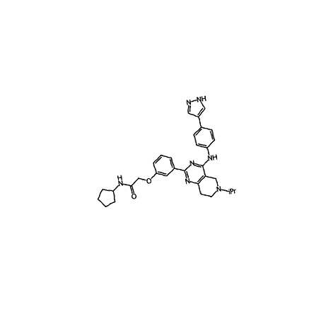 CC(C)N1CCc2nc(-c3cccc(OCC(=O)NC4CCCC4)c3)nc(Nc3ccc(-c4cn[nH]c4)cc3)c2C1